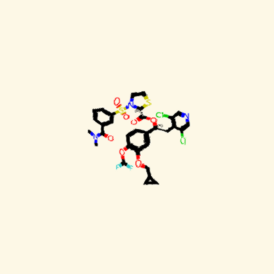 CN(C)C(=O)c1cccc(S(=O)(=O)N2CCS[C@@H]2C(=O)O[C@@H](Cc2c(Cl)cncc2Cl)c2ccc(OC(F)F)c(OCC3CC3)c2)c1